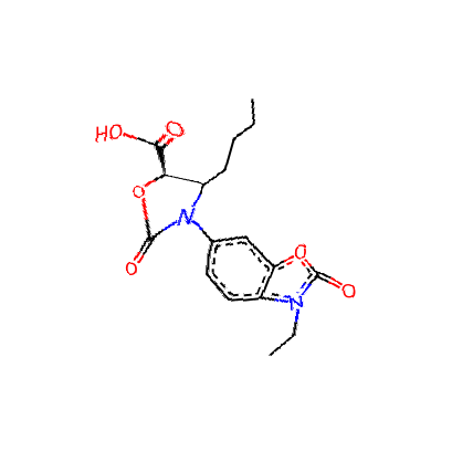 CCCCC1[C@H](C(=O)O)OC(=O)N1c1ccc2c(c1)oc(=O)n2CC